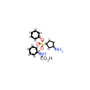 NC1CCC(S(=O)(=O)Oc2ccccc2)C1.O=C(O)Nc1ccccc1